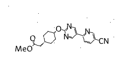 COC(=O)C[C@H]1CC[C@@H](Oc2ncc(-c3ccc(C#N)cn3)cn2)CC1